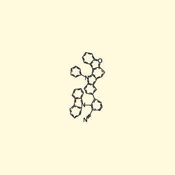 N#Cc1cccc(-c2ccc3c(c2)c2ccc4oc5ccccc5c4c2n3-c2ccccc2)c1-n1c2ccccc2c2ccccc21